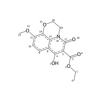 CCOC(=O)c1c(O)c2ccc(OC)c3c2n(c1=O)CCO3